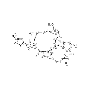 CO[C@H]1/C=C/C[C@H](C)CS(=O)(NC(=O)c2cnn(C)c2)=NC(=O)c2ccc3c(c2)N(Cc2ccc(Cl)cc2[C@H]2C[C@H]2CCO3)C[C@@H]2CC[C@H]21